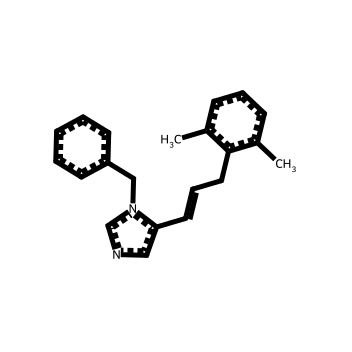 Cc1cccc(C)c1CC=Cc1cncn1Cc1ccccc1